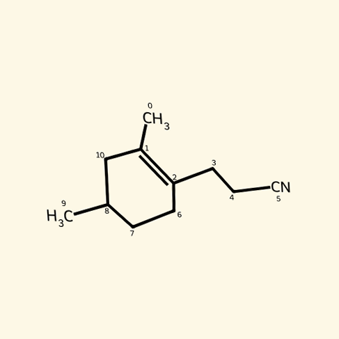 CC1=C(CCC#N)CCC(C)C1